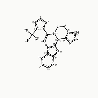 O=C(c1scnc1C(F)(F)F)N1CCc2[nH]cnc2[C@H]1c1nc2ccccc2s1